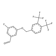 O=Cc1cc(F)cc(OCc2ccc(C(F)(F)F)c(C(F)(F)F)c2)c1